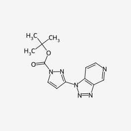 CC(C)(C)OC(=O)n1ccc(-n2nnc3cnccc32)n1